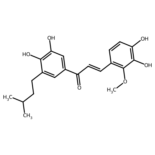 COc1c(/C=C/C(=O)c2cc(O)c(O)c(CCC(C)C)c2)ccc(O)c1O